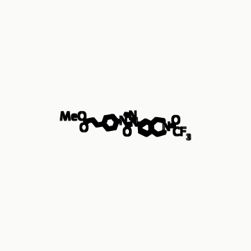 COC(=O)CCC1CCC(n2cnn(-c3ccc4c(c3)CCN(C(=O)C(F)(F)F)CC4)c2=O)CC1